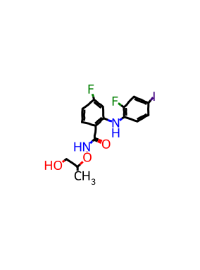 CC(CO)ONC(=O)c1ccc(F)cc1Nc1ccc(I)cc1F